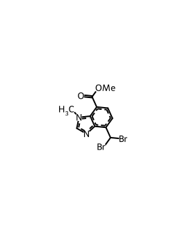 COC(=O)c1ccc(C(Br)Br)c2ncn(C)c12